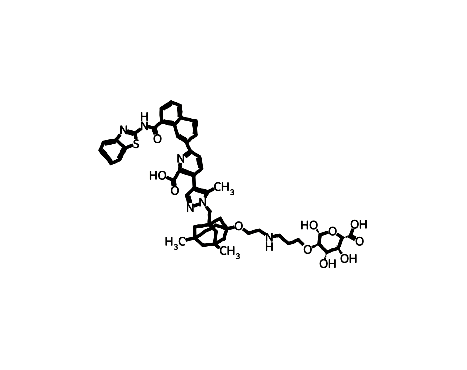 Cc1c(-c2ccc(-c3ccc4cccc(C(=O)Nc5nc6ccccc6s5)c4c3)nc2C(=O)O)cnn1CC12CC3(C)CC(C)(C1)CC(OCCNCCCO[C@@H]1[C@@H](O)[C@H](O)[C@@H](C(=O)O)O[C@H]1O)(C3)C2